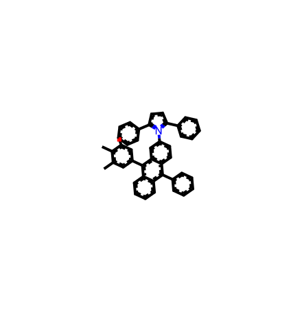 Cc1cc(-c2c3ccccc3c(-c3ccccc3)c3ccc(-n4c(-c5ccccc5)ccc4-c4ccccc4)cc23)cc(C)c1C